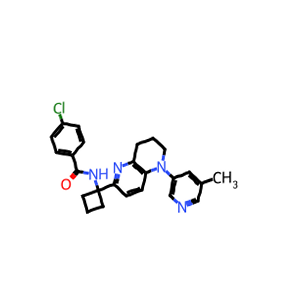 Cc1cncc(N2CCCc3nc(C4(NC(=O)c5ccc(Cl)cc5)CCC4)ccc32)c1